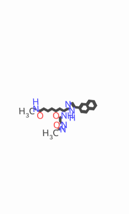 CNC(=O)CCCCCC(NC(=O)c1nnc(C)o1)c1ncc(-c2ccc3ccccc3c2)[nH]1